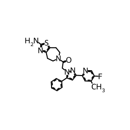 Cc1cc(-c2cc(-c3ccccc3)n(CC(=O)N3CCc4nc(N)sc4CC3)n2)ncc1F